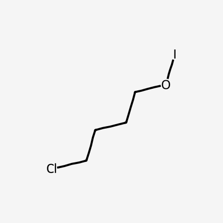 ClCCCCOI